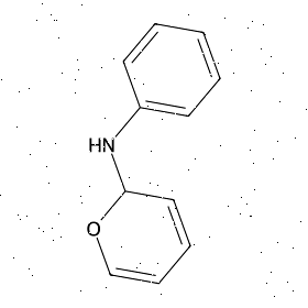 C1=COC(Nc2ccccc2)C=C1